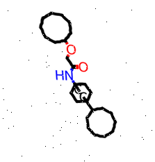 O=C(COC1CCCCCCCC1)NC12CCC(C3CCCCCCCC3)(CC1)CC2